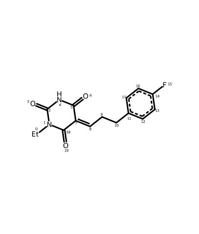 CCN1C(=O)NC(=O)/C(=C\CCc2ccc(F)cc2)C1=O